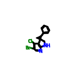 Clc1c(Br)cnc2c1C1(CN2)CC1c1ccccc1